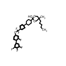 CCCCCC1(C)COC(O)(C2CCC(c3ccc(C(F)(F)Oc4ccc(-c5cc(F)c(F)c(F)c5)c(F)c4)cc3)CC2)OC1